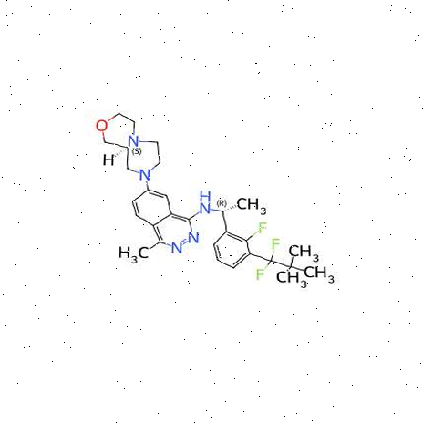 Cc1nnc(N[C@H](C)c2cccc(C(F)(F)C(C)(C)C)c2F)c2cc(N3CCN4CCOC[C@@H]4C3)ccc12